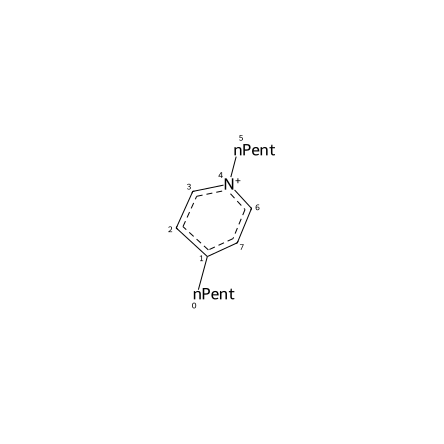 CCCCCc1cc[n+](CCCCC)cc1